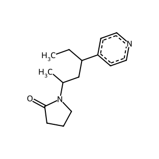 CCC(CC(C)N1CCCC1=O)c1ccncc1